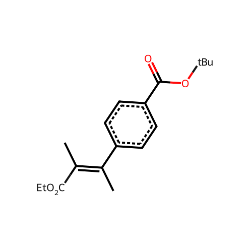 CCOC(=O)/C(C)=C(\C)c1ccc(C(=O)OC(C)(C)C)cc1